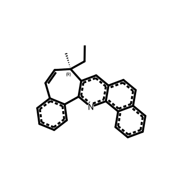 CC[C@]1(C)C=Cc2ccccc2-c2nc3c(ccc4ccccc43)cc21